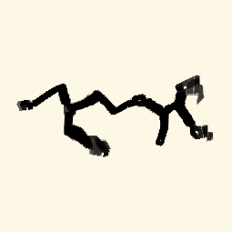 C=C(C)C(=O)OCCN(CC(C)C)CC(C)C